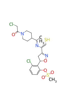 C/C(=N\C(=C/S)C1=NOC(c2c(Cl)cccc2OS(C)(=O)=O)C1)C1CCN(C(=O)CCl)CC1